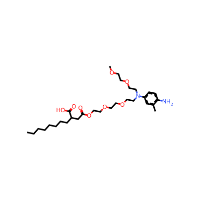 CCCCCCCCC(CC(=O)OCCOCCOCCN(CCOCCOC)c1ccc(N)c(C)c1)C(=O)O